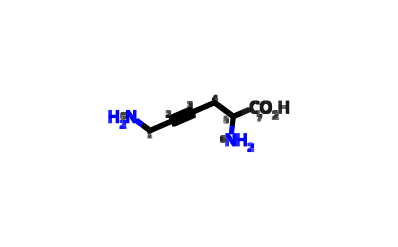 NCC#CCC(N)C(=O)O